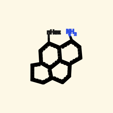 CCCCCCc1cc2cccc3ccc4ccc(N)c1c4c32